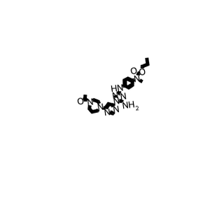 CCCOC(=O)N(C)c1ccc(Nc2nc(N)n(-c3cc(N4CCCN(C(C)=O)CC4)ncn3)n2)cc1